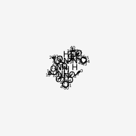 C#CCOC(=O)NC(C(=O)NC(CC1CC1)C(=O)NC(CC1CC1)C(=O)C(=O)NCC(=O)NC(C(=O)OC(C)(C)C)c1ccccc1)C1CCCCC1